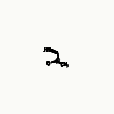 C[S+]([O-])C=N